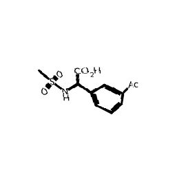 CC(=O)c1cccc(C(NS(C)(=O)=O)C(=O)O)c1